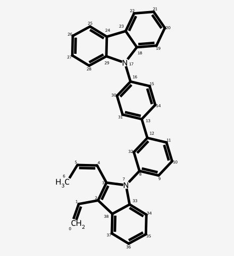 C=Cc1c(/C=C\C)n(-c2cccc(-c3ccc(-n4c5ccccc5c5ccccc54)cc3)c2)c2ccccc12